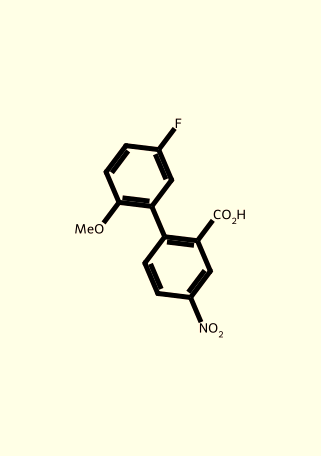 COc1ccc(F)cc1-c1ccc([N+](=O)[O-])cc1C(=O)O